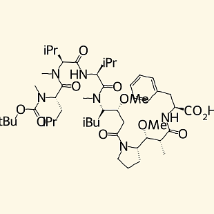 CC[C@H](C)[C@@H]([C@@H](CC(=O)N1CCC[C@H]1[C@H](OC)[C@@H](C)C(=O)N[C@@H](Cc1ccccc1)C(=O)O)OC)N(C)C(=O)[C@@H](NC(=O)[C@H](C(C)C)N(C)C(=O)[C@H](CC(C)C)N(C)C(=O)OC(C)(C)C)C(C)C